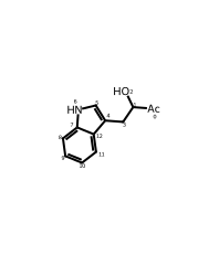 CC(=O)C(O)Cc1c[nH]c2ccccc12